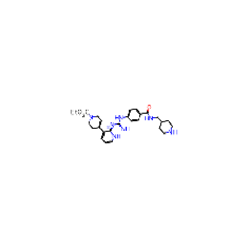 CCOC(=O)N1CC=C(c2ccc[nH]/c2=N\C(=N)Nc2ccc(C(=O)NCC3CCNCC3)cc2)CC1